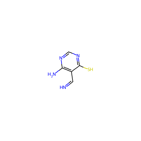 N=Cc1c(N)ncnc1S